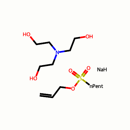 C=CCOS(=O)(=O)CCCCC.OCCN(CCO)CCO.[NaH]